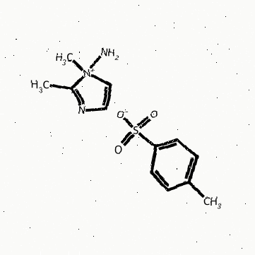 CC1=NC=C[N+]1(C)N.Cc1ccc(S(=O)(=O)[O-])cc1